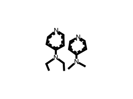 CCN(CC)c1ccncc1.CN(C)c1ccncc1